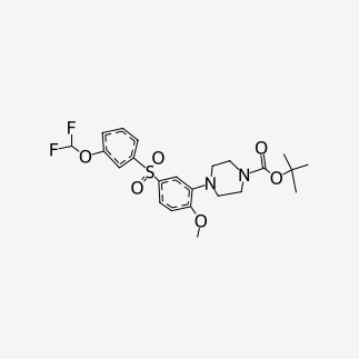 COc1ccc(S(=O)(=O)c2cccc(OC(F)F)c2)cc1N1CCN(C(=O)OC(C)(C)C)CC1